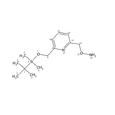 CC(C)(C)[Si](C)(C)OCc1cccc(CON)n1